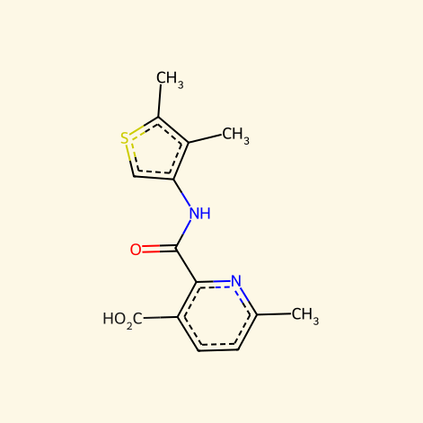 Cc1ccc(C(=O)O)c(C(=O)Nc2csc(C)c2C)n1